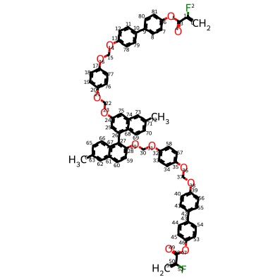 C=C(F)C(=O)Oc1ccc(-c2ccc(OCOc3ccc(OCOc4cc(-c5c(OCOc6ccc(OCOc7ccc(-c8ccc(OC(=O)C(=C)F)cc8)cc7)cc6)ccc6cc(C)ccc56)c5ccc(C)cc5c4)cc3)cc2)cc1